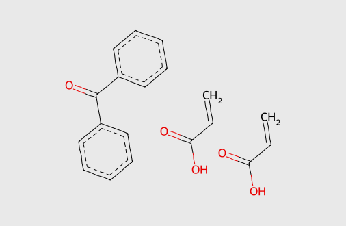 C=CC(=O)O.C=CC(=O)O.O=C(c1ccccc1)c1ccccc1